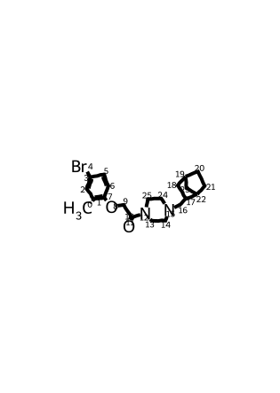 Cc1cc(Br)ccc1OCC(=O)N1CCN(CC2CC3CCC2C3)CC1